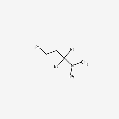 CCC(CC)(CCC(C)C)N(C)C(C)C